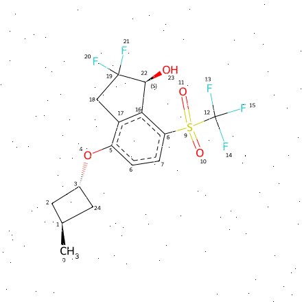 C[C@H]1C[C@H](Oc2ccc(S(=O)(=O)C(F)(F)F)c3c2CC(F)(F)[C@H]3O)C1